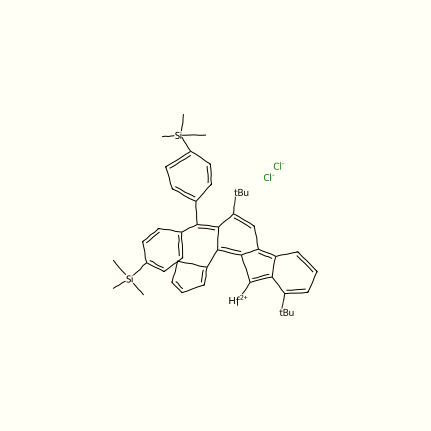 CC(C)(C)c1cc2c(c(C3=CC=CC3)c1=C(c1ccc([Si](C)(C)C)cc1)c1ccc([Si](C)(C)C)cc1)[C]([Hf+2])=c1c(C(C)(C)C)cccc1=2.[Cl-].[Cl-]